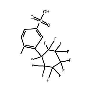 Cc1ccc(S(=O)(=O)O)cc1C1(F)C(F)(F)C(F)(F)C(F)(F)C(F)(F)C1(F)F